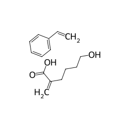 C=C(CCCCO)C(=O)O.C=Cc1ccccc1